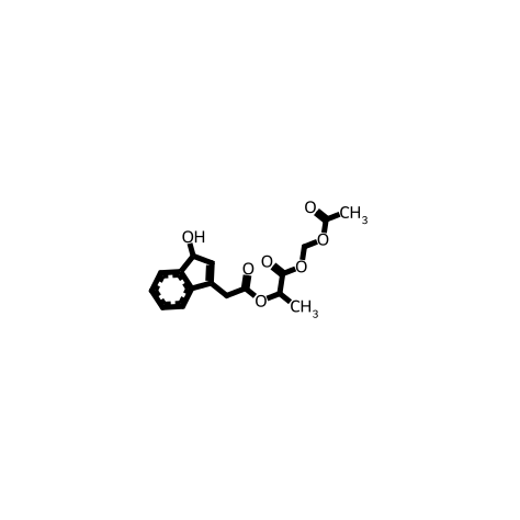 CC(=O)OCOC(=O)C(C)OC(=O)CC1=CC(O)c2ccccc21